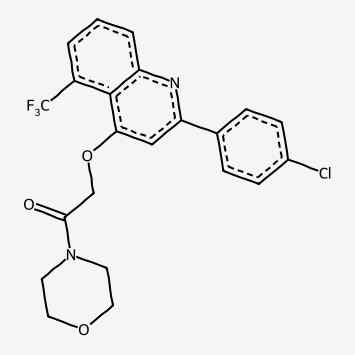 O=C(COc1cc(-c2ccc(Cl)cc2)nc2cccc(C(F)(F)F)c12)N1CCOCC1